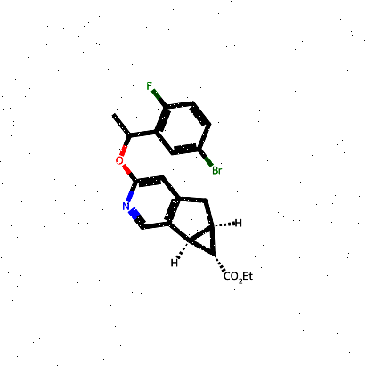 CCOC(=O)[C@H]1[C@@H]2Cc3cc(OC(C)c4cc(Br)ccc4F)ncc3[C@@H]21